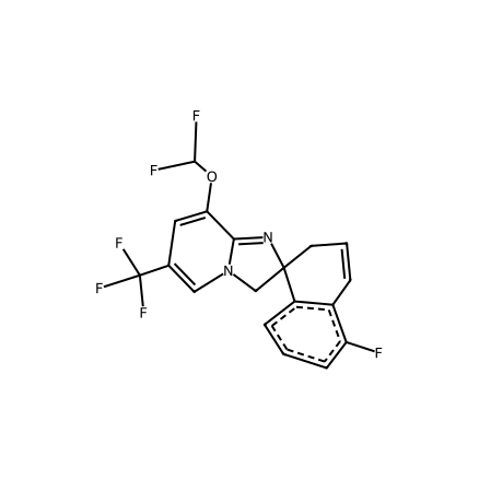 Fc1cccc2c1C=CCC21CN2C=C(C(F)(F)F)C=C(OC(F)F)C2=N1